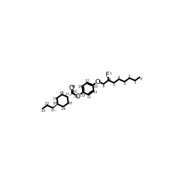 CCCCCCC(F)COc1ccc(OC(=O)[C@H]2CC[C@H](CCC)CC2)cc1